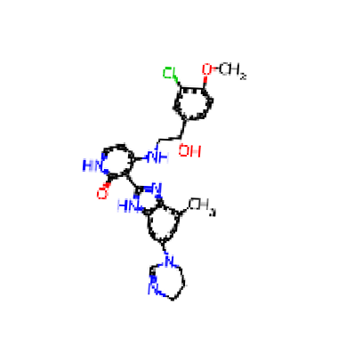 COc1ccc([C@H](O)CNc2cc[nH]c(=O)c2-c2nc3c(C)cc(N4C=NCCC4)cc3[nH]2)cc1Cl